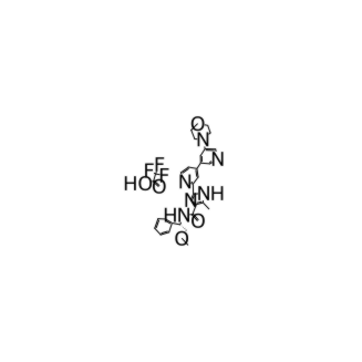 COC[C@@H](NC(=O)c1nc(-c2cc(-c3cncc(N4CCOCC4)c3)ccn2)[nH]c1C)c1ccccc1.O=C(O)C(F)(F)F